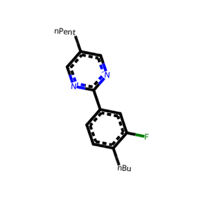 CCCCCc1cnc(-c2ccc(CCCC)c(F)c2)nc1